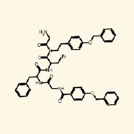 CC(C)CC(NC(=O)C(Cc1ccccc1)NC(=O)CNC(=O)c1ccc(OCc2ccccc2)cc1)C(=O)N(CCc1ccc(OCc2ccccc2)cc1)C(=O)CN